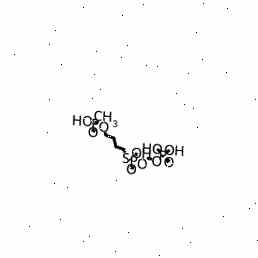 CP(=O)(O)OCCCCSP(=O)(O)OCOP(=O)(O)O